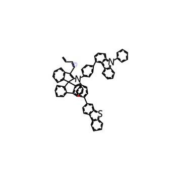 C=C/C=C\C1=C(N(c2ccc(-c3ccc4c(c3)sc3ccccc34)cc2)c2ccc(-c3cccc4c3c3ccccc3n4-c3ccccc3)cc2)C2(c3ccccc31)c1ccccc1-c1ccccc12